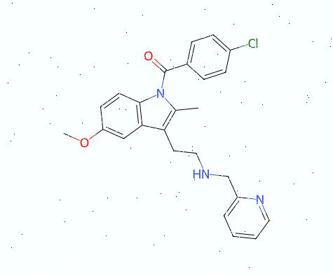 COc1ccc2c(c1)c(CCNCc1ccccn1)c(C)n2C(=O)c1ccc(Cl)cc1